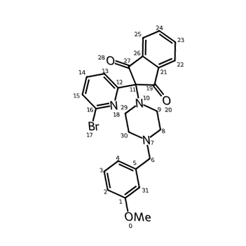 COc1cccc(CN2CCN(C3(c4cccc(Br)n4)C(=O)c4ccccc4C3=O)CC2)c1